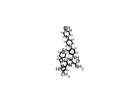 CCc1cc(Nc2nc(N3CCC34CCOCC4)c(-c3cc(C)[nH]n3)nc2C(N)=O)ccc1N1CCC(N2CCN(C)CC2)CC1